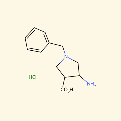 Cl.NC1CN(Cc2ccccc2)CC1C(=O)O